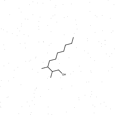 CCCCCCCC(C)C(C)CO